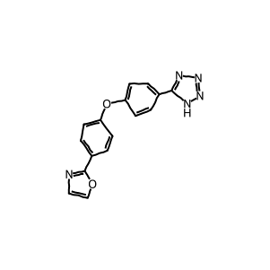 c1coc(-c2ccc(Oc3ccc(-c4nnn[nH]4)cc3)cc2)n1